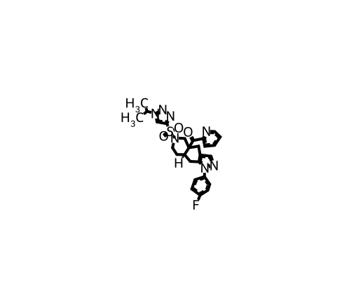 CC(C)n1cc(S(=O)(=O)N2CC[C@H]3Cc4c(cnn4-c4ccc(F)cc4)CC3(C(=O)c3ccccn3)C2)nn1